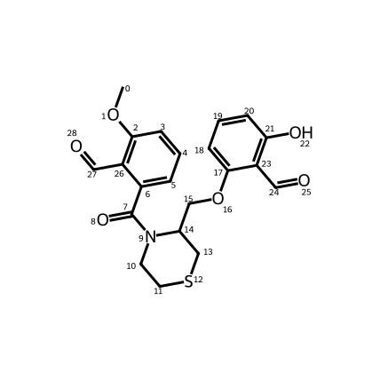 COc1cccc(C(=O)N2CCSCC2COc2cccc(O)c2C=O)c1C=O